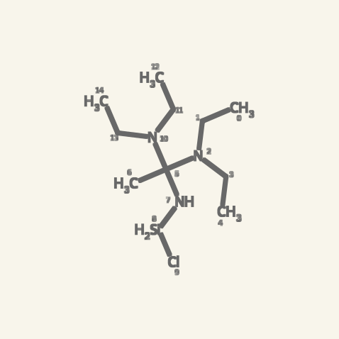 CCN(CC)C(C)(N[SiH2]Cl)N(CC)CC